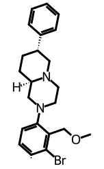 COCc1c(Br)[c]ccc1N1CCN2C[C@@H](c3ccccc3)CC[C@@H]2C1